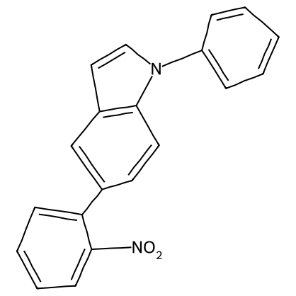 O=[N+]([O-])c1ccccc1-c1ccc2c(ccn2-c2ccccc2)c1